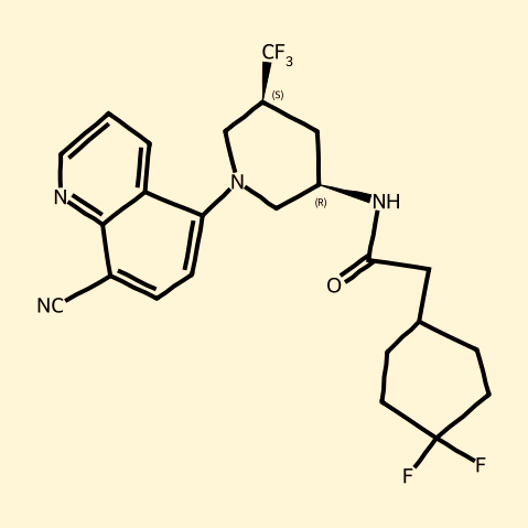 N#Cc1ccc(N2C[C@H](NC(=O)CC3CCC(F)(F)CC3)C[C@H](C(F)(F)F)C2)c2cccnc12